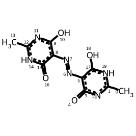 Cc1nc(=O)c(N=Nc2c(O)nc(C)[nH]c2=O)c(O)[nH]1